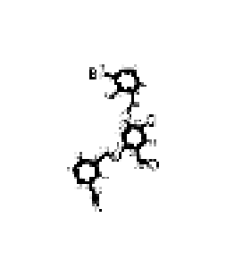 Cc1c(Br)cccc1COc1cc(OCc2cccc(C#N)c2)c(C=O)cc1Cl